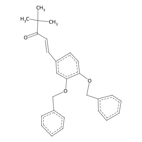 CC(C)(C)C(=O)C=Cc1ccc(OCc2ccccc2)c(OCc2ccccc2)c1